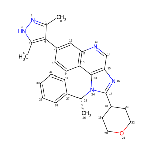 Cc1n[nH]c(C)c1-c1ccc2c(c1)ncc1nc(C3CCOCC3)n([C@H](C)c3ccccc3)c12